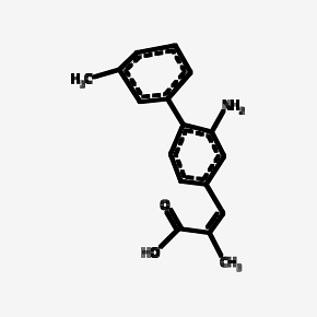 CC(=Cc1ccc(-c2cccc(C)c2)c(N)c1)C(=O)O